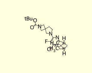 CC(C)(C)OC(=O)N1CC2(CCN(c3nc4c(c(Cl)c3F)C[C@H]3C[C@@H]4C3(C)C)C2)C1